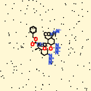 CC(=O)O[C@H]1[C@@H](CC(=O)O)[C@H](N=[N+]=[N-])C[C@H](N=[N+]=[N-])[C@H]1O[C@H]1O[C@H]([C@@H](C)NC(=O)OCc2ccccc2)CC[C@@H]1N=[N+]=[N-]